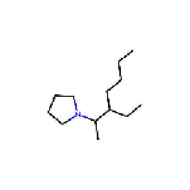 CCCCC(CC)C(C)N1CCCC1